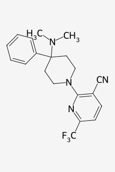 CN(C)C1(c2ccccc2)CCN(c2nc(C(F)(F)F)ccc2C#N)CC1